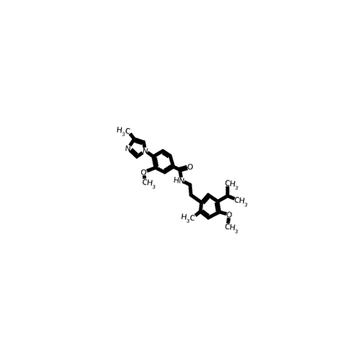 COc1cc(C)c(CCNC(=O)c2ccc(-n3cnc(C)c3)c(OC)c2)cc1C(C)C